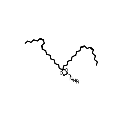 CCCCC/C=C\C/C=C\CCCCCCCCC1(CCCCCCCC/C=C\C/C=C\CCCCC)OC[C@H](CN=[N+]=[N-])O1